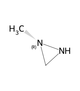 C[N@@]1CN1